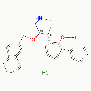 CCOc1c(-c2ccccc2)cccc1[C@H]1CCNC[C@@H]1OCc1ccc2ccccc2c1.Cl